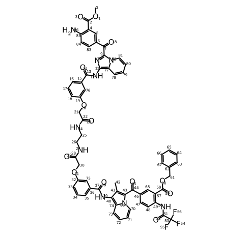 COC(=O)c1cc(C(=O)c2nc(NC(=O)c3cccc(OCC(=O)NCCNC(=O)COc4cccc(C(=O)Nc5c(C)c(C(=O)c6ccc(NC(=O)C(F)(F)F)c(C(=O)OCc7ccccc7)c6)n6ccccc56)c4)c3)c3ccccn23)ccc1N